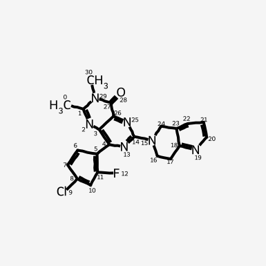 Cc1nc2c(-c3ccc(Cl)cc3F)nc(N3CCc4ncccc4C3)nc2c(=O)n1C